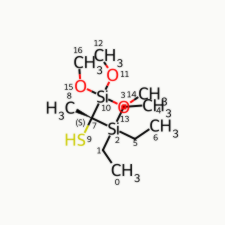 CC[Si](CC)(CC)[C@](C)(S)[Si](OC)(OC)OC